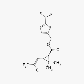 CC1(C)[C@H](C(=O)OCc2ccc(C(F)F)s2)[C@@H]1/C=C(\Cl)C(F)(F)F